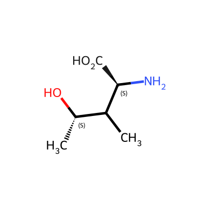 CC([C@H](C)O)[C@H](N)C(=O)O